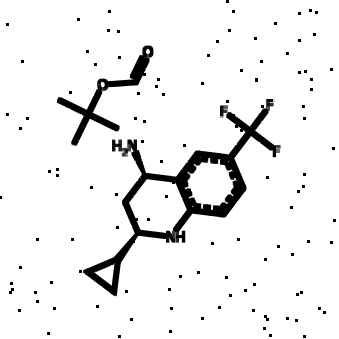 CC(C)(C)OC=O.N[C@@H]1C[C@H](C2CC2)Nc2ccc(C(F)(F)F)cc21